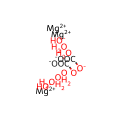 O.O.O.O.O.O=C([O-])[O-].O=C([O-])[O-].[Mg+2].[Mg+2].[Mg+2].[OH-].[OH-]